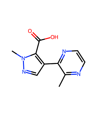 Cc1nccnc1-c1cnn(C)c1C(=O)O